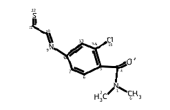 CN(C)C(=O)c1ccc(N=CC=S)cc1Cl